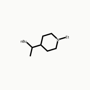 CCCCC(C)C1CCN(CC)CC1